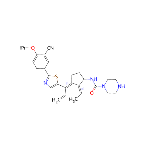 C=C/C(=C1/CCC(NC(=O)N2CCNCC2)/C1=C/C)c1cnc(C2C=C(C#N)C(OC(C)C)=CC2)s1